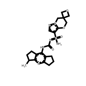 CC1CCc2c1nc1c(c2NC(=O)N=S(N)(=O)c2cnn3c2OCC2(COC2)C3)CCC1